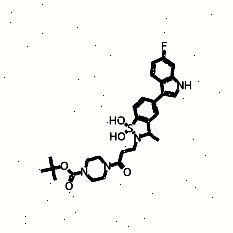 CC1c2cc(-c3c[nH]c4cc(F)ccc34)ccc2S(O)(O)N1CCC(=O)N1CCN(C(=O)OC(C)(C)C)CC1